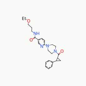 CCOCCCNC(=O)c1ccc(N2CCN(C(=O)C3CC3c3ccccc3)CC2)nc1